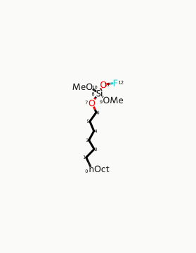 CCCCCCCCCCCCCCO[Si](OC)(OC)OF